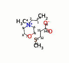 C=CC[N+]1(C)CCOCC1.CSCCC(=O)[O-]